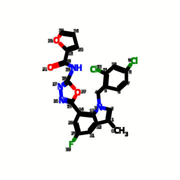 Cc1cn(Cc2ccc(Cl)cc2Cl)c2c(-c3nnc(NC(=O)c4ccco4)o3)cc(F)cc12